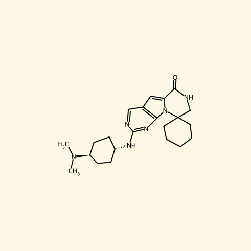 CN(C)[C@H]1CC[C@H](Nc2ncc3cc4n(c3n2)C2(CCCCC2)CNC4=O)CC1